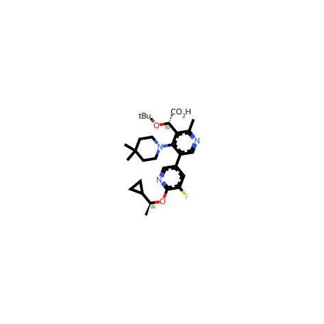 Cc1ncc(-c2cnc(O[C@@H](C)C3CC3)c(F)c2)c(N2CCC(C)(C)CC2)c1[C@H](OC(C)(C)C)C(=O)O